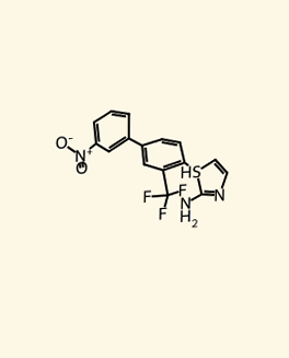 NC1=NC=C[SH]1c1ccc(-c2cccc([N+](=O)[O-])c2)cc1C(F)(F)F